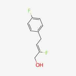 OCC(F)=CCc1ccc(F)cc1